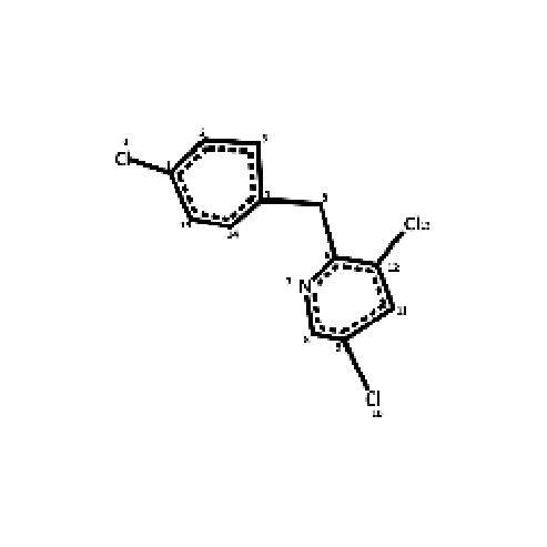 Clc1ccc(Cc2ncc(Cl)cc2Cl)cc1